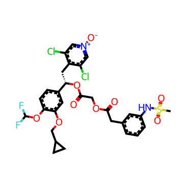 CS(=O)(=O)Nc1cccc(CC(=O)OCC(=O)O[C@@H](Cc2c(Cl)c[n+]([O-])cc2Cl)c2ccc(OC(F)F)c(OCC3CC3)c2)c1